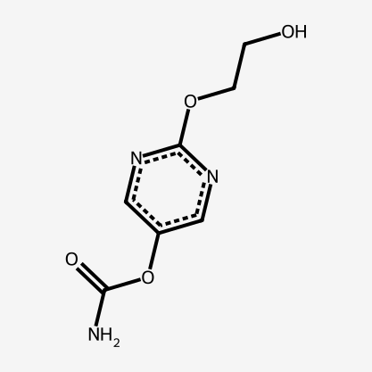 NC(=O)Oc1cnc(OCCO)nc1